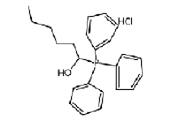 CCCCCC(O)[P](c1ccccc1)(c1ccccc1)c1ccccc1.Cl